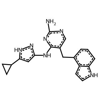 Nc1ncc(Cc2cccc3[nH]ccc23)c(Nc2cc(C3CC3)[nH]n2)n1